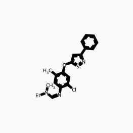 CCN(C)/C=N\c1cc(C)c(Oc2cc(-c3ccccc3)ns2)cc1Cl